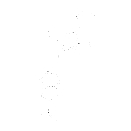 COc1cc(N2CCCC2)c(OC)cc1/N=N/c1ccc2[nH]c(C(=O)O)cc2c1